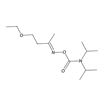 CCOCC/C(C)=N/OC(=O)N(C(C)C)C(C)C